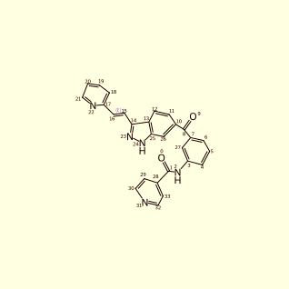 O=C(Nc1cccc(C(=O)c2ccc3c(/C=C/c4ccccn4)n[nH]c3c2)c1)c1ccncc1